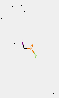 FPCI